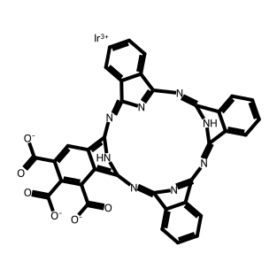 O=C([O-])c1cc2c3nc4nc(nc5[nH]c(nc6nc(nc([nH]3)c2c(C(=O)[O-])c1C(=O)[O-])-c1ccccc1-6)c1ccccc51)-c1ccccc1-4.[Ir+3]